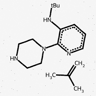 C=C(C)C.CC(C)(C)Nc1cccnc1N1CCNCC1